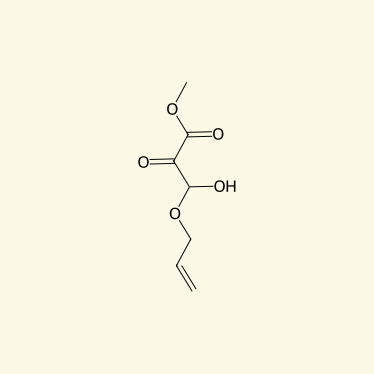 C=CCOC(O)C(=O)C(=O)OC